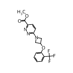 COC(=O)c1ccc(N2CC(Oc3ccccc3C(F)(F)F)C2)nn1